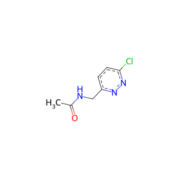 CC(=O)NCc1ccc(Cl)nn1